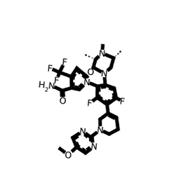 COc1cnc(N2CCC=C(c3c(F)cc(N4C[C@@H](C)N(C)[C@@H](C)C4)c(-n4cc(C(N)=O)c(C(F)(F)F)cc4=O)c3F)C2)nc1